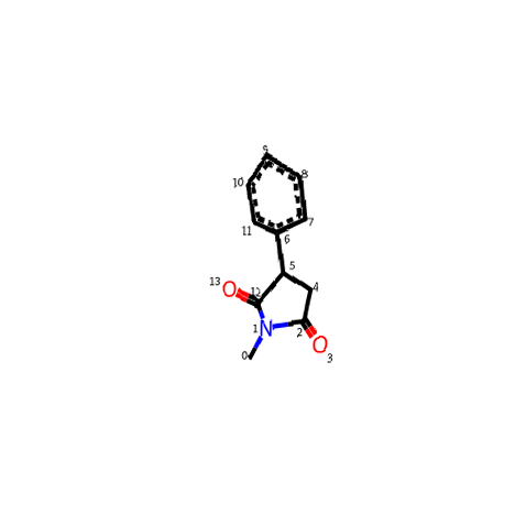 CN1C(=O)CC(c2ccccc2)C1=O